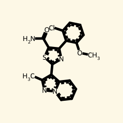 COc1cccc(Cl)c1-c1nc(-c2c(C)nn3ccccc23)sc1C(N)=O